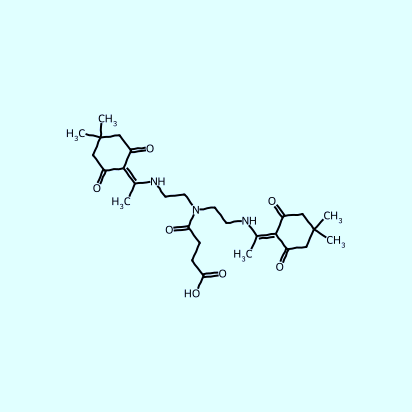 CC(NCCN(CCNC(C)=C1C(=O)CC(C)(C)CC1=O)C(=O)CCC(=O)O)=C1C(=O)CC(C)(C)CC1=O